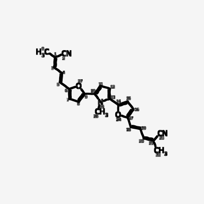 C/C(C#N)=C/C=C/c1ccc(-c2ccc(-c3ccc(/C=C/C=C(/C)C#N)o3)n2C)o1